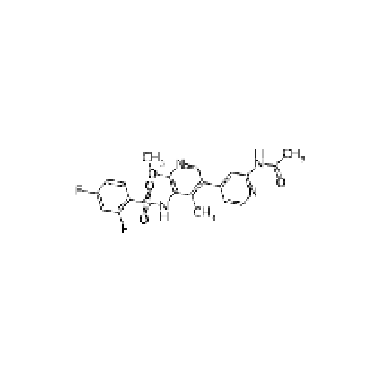 COc1ncc(-c2ccnc(NC(C)=O)c2)c(C)c1NS(=O)(=O)c1ccc(F)cc1F